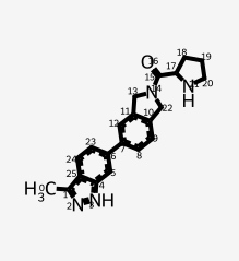 Cc1n[nH]c2cc(-c3ccc4c(c3)CN(C(=O)C3CCCN3)C4)ccc12